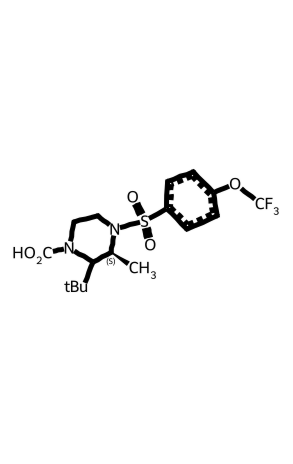 C[C@H]1C(C(C)(C)C)N(C(=O)O)CCN1S(=O)(=O)c1ccc(OC(F)(F)F)cc1